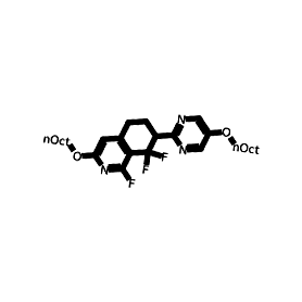 CCCCCCCCOc1cnc(C2CCc3cc(OCCCCCCCC)nc(F)c3C2(F)F)nc1